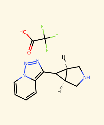 O=C(O)C(F)(F)F.c1ccn2nnc(C3[C@H]4CNC[C@@H]34)c2c1